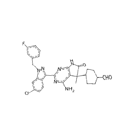 CC1(C2CCC(C=O)CC2)C(=O)Nc2nc(-c3nn(Cc4cccc(F)c4)c4cc(Cl)ccc34)nc(N)c21